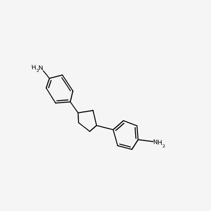 Nc1ccc(C2CCC(c3ccc(N)cc3)C2)cc1